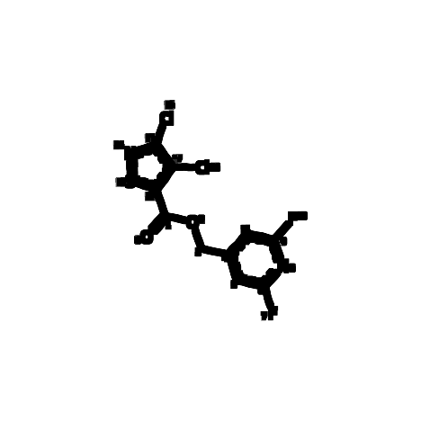 O=C(OCc1cc(F)nc(F)c1)c1snc(Cl)c1Cl